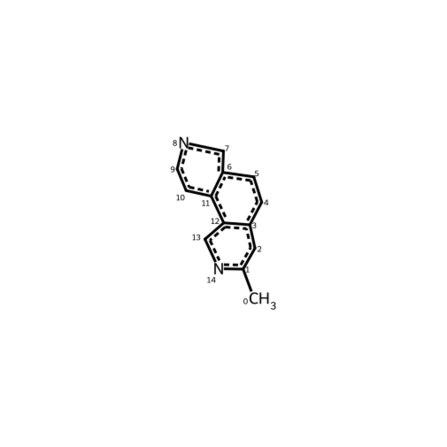 Cc1cc2ccc3cnccc3c2cn1